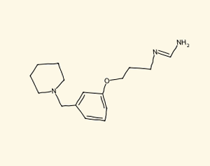 NC=NCCCOc1cccc(CN2CCCCC2)c1